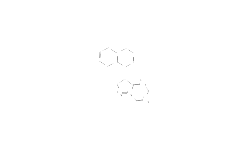 Oc1ncnc2c(-c3cccc4ccccc34)cnn12